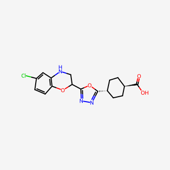 O=C(O)[C@H]1CC[C@H](c2nnc(C3CNc4cc(Cl)ccc4O3)o2)CC1